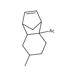 CC(=O)C12CCC(C)CC1C1C=CC2C1